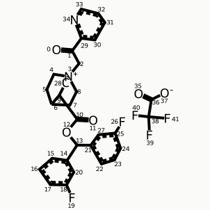 O=C(C[N+]12CCC(CC1)C(C(=O)OC(c1cccc(F)c1)c1cccc(F)c1)C2)c1ccccn1.O=C([O-])C(F)(F)F